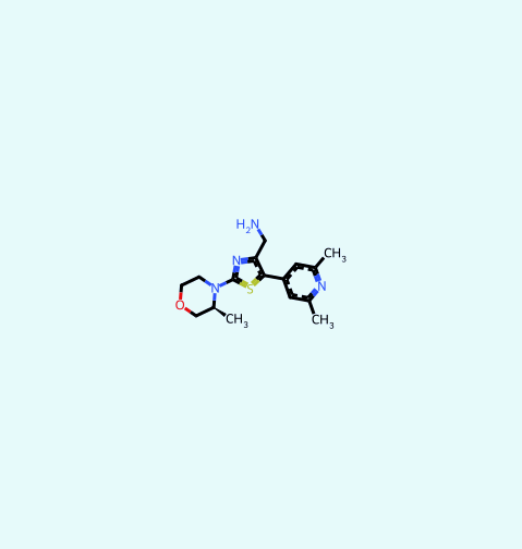 Cc1cc(-c2sc(N3CCOC[C@@H]3C)nc2CN)cc(C)n1